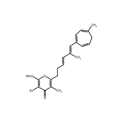 CCc1c(OC)oc(CC/C=C/C(C)=C/C2=CC=C(C)CC=C2)c(C)c1=O